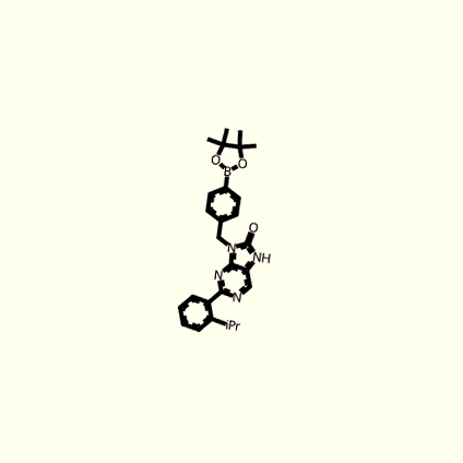 CC(C)c1ccccc1-c1ncc2[nH]c(=O)n(Cc3ccc(B4OC(C)(C)C(C)(C)O4)cc3)c2n1